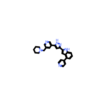 c1cc(-c2ccncc2)c2cc(-c3cc(-c4cncc(CN5CCCCC5)c4)[nH]n3)[nH]c2c1